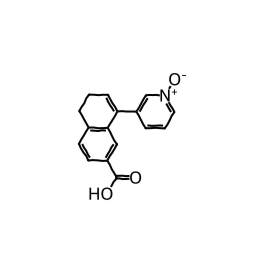 O=C(O)c1ccc2c(c1)C(c1ccc[n+]([O-])c1)=CCC2